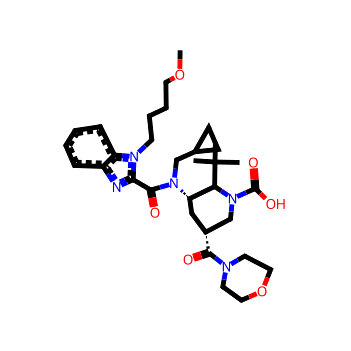 COCCCCn1c(C(=O)N(CC2CC2)[C@H]2C[C@@H](C(=O)N3CCOCC3)CN(C(=O)O)C2C(C)(C)C)nc2ccccc21